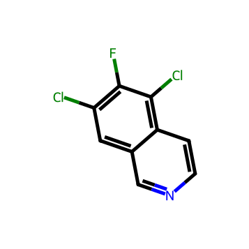 Fc1c(Cl)cc2cnccc2c1Cl